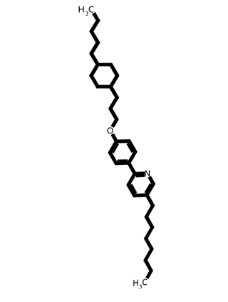 CCCCCCCCc1ccc(-c2ccc(OCCCC3CCC(CCCCC)CC3)cc2)nc1